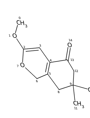 COC1=CC2=C(CO1)CC(C)(C)CC2=O